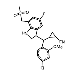 COc1cc(Cl)ccc1C(C1CNc2c(CS(C)(=O)=O)cc(F)cc21)C1CC1C#N